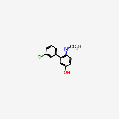 O=C(O)Nc1ccc(O)cc1-c1cccc(Cl)c1